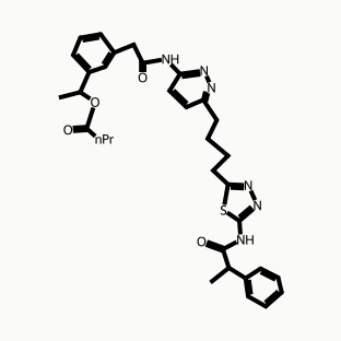 CCCC(=O)OC(C)c1cccc(CC(=O)Nc2ccc(CCCCc3nnc(NC(=O)C(C)c4ccccc4)s3)nn2)c1